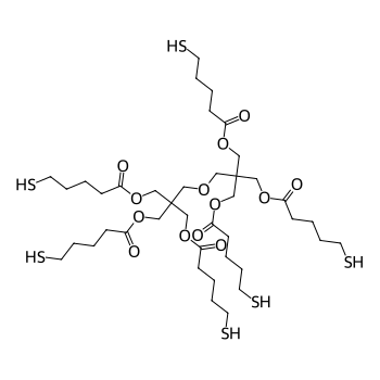 O=C(CCCCS)OCC(COCC(COC(=O)CCCCS)(COC(=O)CCCCS)COC(=O)CCCCS)(COC(=O)CCCCS)COC(=O)CCCCS